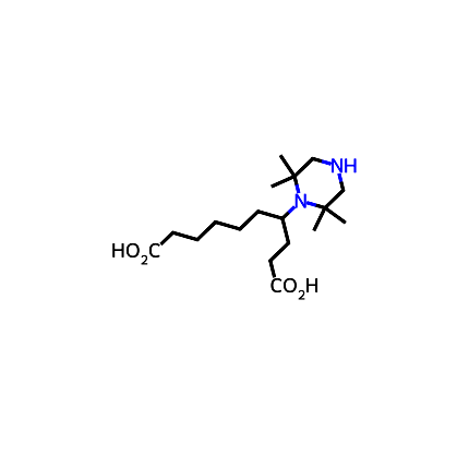 CC1(C)CNCC(C)(C)N1C(CCCCCC(=O)O)CCC(=O)O